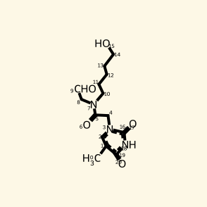 Cc1cn(CC(=O)N(CC=O)CCCCCO)c(=O)[nH]c1=O